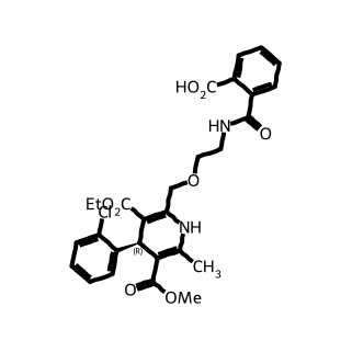 CCOC(=O)C1=C(COCCNC(=O)c2ccccc2C(=O)O)NC(C)=C(C(=O)OC)[C@H]1c1ccccc1Cl